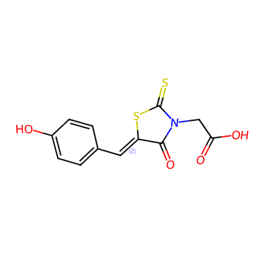 O=C(O)CN1C(=O)/C(=C/c2ccc(O)cc2)SC1=S